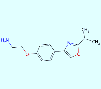 CC(C)c1nc(-c2ccc(OCCN)cc2)co1